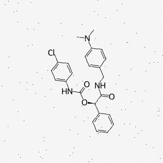 CN(C)c1ccc(CNC(=O)[C@H](OC(=O)Nc2ccc(Cl)cc2)c2ccccc2)cc1